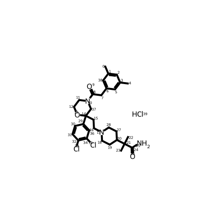 Cc1cc(C)cc(CC(=O)N2CCOC(CCN3CCC(C(C)(C)C(N)=O)CC3)(c3ccc(Cl)c(Cl)c3)C2)c1.Cl